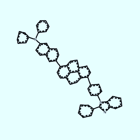 c1ccc(-c2nc3ccccc3n2-c2ccc(-c3ccc4ccc5c(-c6ccc7cc(N(c8ccccc8)c8ccccc8)ccc7c6)ccc6ccc3c4c65)cc2)cc1